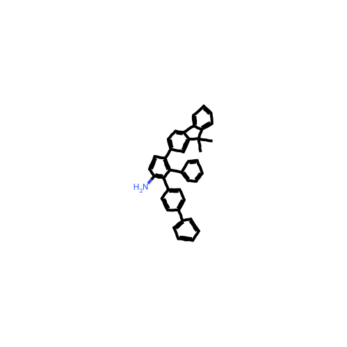 CC1(C)c2ccccc2-c2ccc(-c3ccc(N)c(-c4ccc(-c5ccccc5)cc4)c3-c3ccccc3)cc21